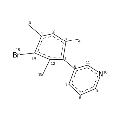 Cc1cc(C)c(-c2cccnc2)c(C)c1Br